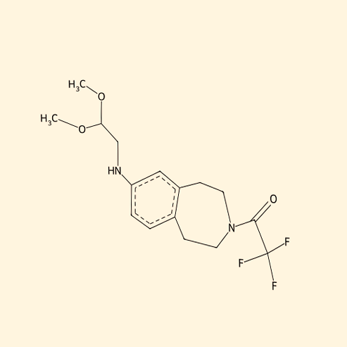 COC(CNc1ccc2c(c1)CCN(C(=O)C(F)(F)F)CC2)OC